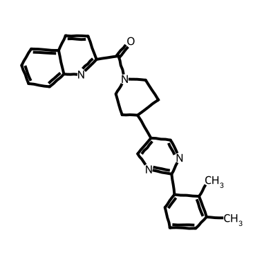 Cc1cccc(-c2ncc(C3CCN(C(=O)c4ccc5ccccc5n4)CC3)cn2)c1C